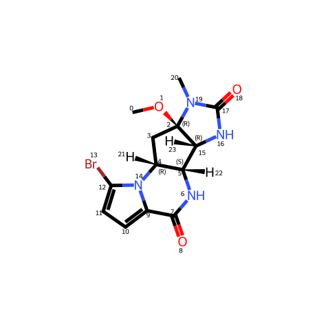 CO[C@]12C[C@@H]3[C@@H](NC(=O)c4ccc(Br)n43)[C@H]1NC(=O)N2C